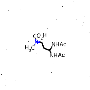 CC(=O)NC(CCN(C)C(=O)O)NC(C)=O